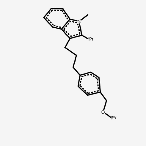 CC(C)OCc1ccc(CCCc2c(C(C)C)n(C)c3ccccc23)cc1